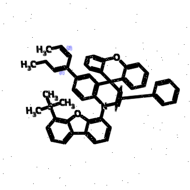 C/C=C\C(=C/CC)c1ccc2c(c1)C1(c3ccccc3Oc3ccccc31)c1cc(-c3ccccc3)ccc1N2c1cccc2c1oc1c(S(C)(C)C)cccc12